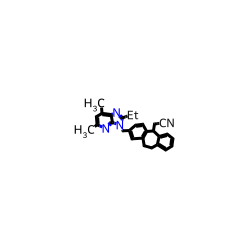 CCc1nc2c(C)cc(C)nc2n1Cc1ccc2c(c1)CCc1ccccc1C2CC#N